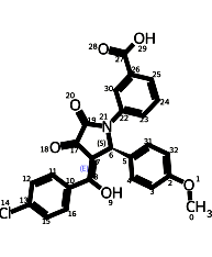 COc1ccc([C@H]2/C(=C(\O)c3ccc(Cl)cc3)C(=O)C(=O)N2c2cccc(C(=O)O)c2)cc1